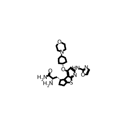 NC(=O)[C@@H](N)C[C@H]1CCc2sc3nc(Nc4ncco4)cc(O[C@H]4CC[C@H](N5CCOCC5)CC4)c3c21